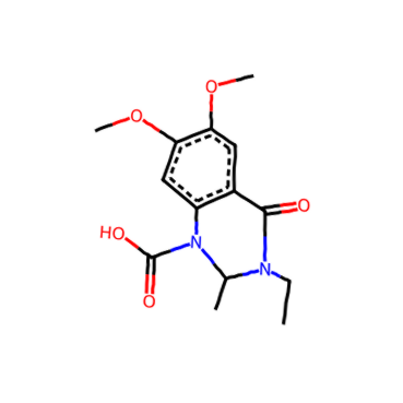 CCN1C(=O)c2cc(OC)c(OC)cc2N(C(=O)O)C1C